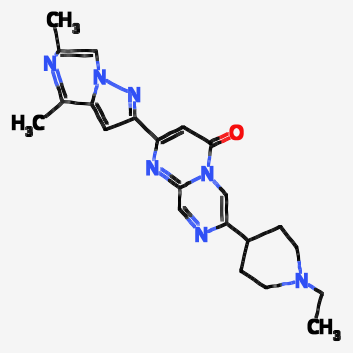 CCN1CCC(c2cn3c(=O)cc(-c4cc5c(C)nc(C)cn5n4)nc3cn2)CC1